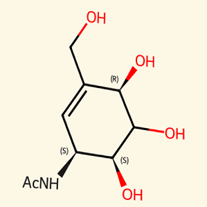 CC(=O)N[C@H]1C=C(CO)[C@@H](O)C(O)[C@H]1O